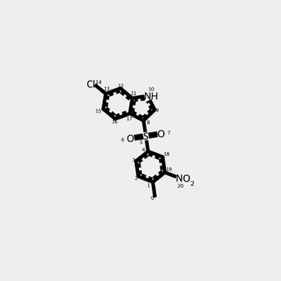 Cc1ccc(S(=O)(=O)c2c[nH]c3cc(Cl)ccc23)cc1[N+](=O)[O-]